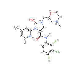 Cc1cc(C(F)(F)F)cc(N2C(O)N(CC3CN(C)CCO3)C[C@H]2C(=O)N(C)c2ccc(F)c(Cl)c2F)n1